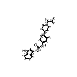 Cc1cc(NC(=O)Nc2c[nH]c3ccccc23)cnc1C1CCN(C(F)C(F)F)CC1